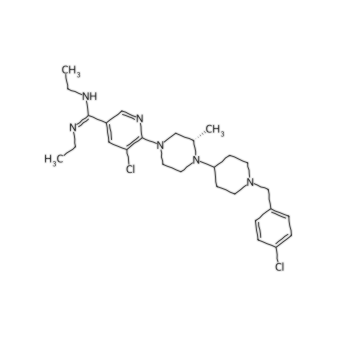 CC/N=C(/NCC)c1cnc(N2CCN(C3CCN(Cc4ccc(Cl)cc4)CC3)[C@@H](C)C2)c(Cl)c1